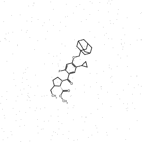 CCC1CCN(C(=O)c2cc(C3CC3)c(OCC34CC5CC(CC(C5)C3)C4)cc2F)[C@@H]1C(=O)OC